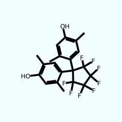 Cc1cc(C2(c3cc(C)c(O)cc3C)C(F)(F)C(F)(F)C(F)(F)C2(F)F)c(C)cc1O